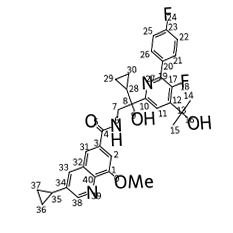 COc1cc(C(=O)NCC(O)(c2cc(C(C)(C)O)c(F)c(-c3ccc(F)cc3)n2)C2CC2)cc2cc(C3CC3)cnc12